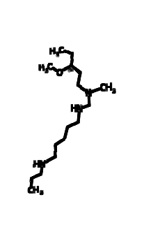 CCCNCCCCCNCN(C)CC[C@H](CC)OC